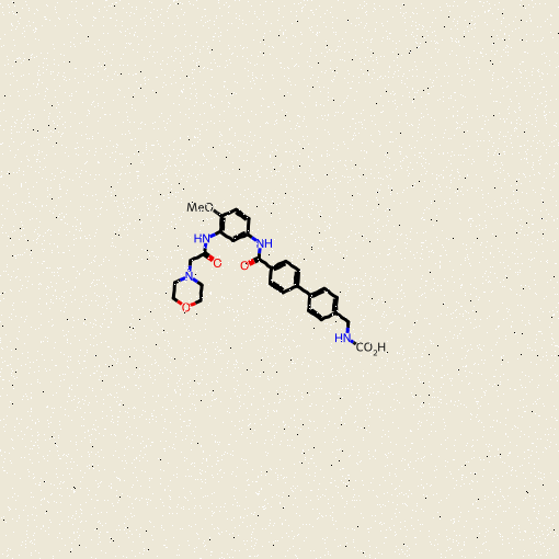 COc1ccc(NC(=O)c2ccc(-c3ccc(CNC(=O)O)cc3)cc2)cc1NC(=O)CN1CCOCC1